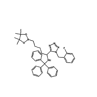 CC1(C)OB(CCCCC(NC(c2ccccc2)(c2ccccc2)c2ccccc2)c2nnnn2Cc2ccccc2F)OC1(C)C